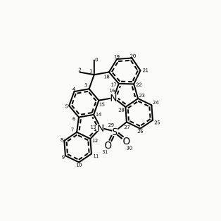 CC1(C)c2ccc3c4ccccc4n4c3c2-n2c3c1cccc3c1cccc(c12)S4(=O)=O